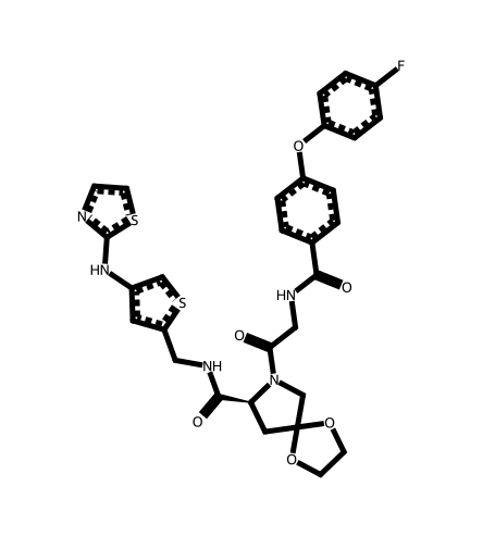 O=C(NCC(=O)N1CC2(C[C@H]1C(=O)NCc1cc(Nc3nccs3)cs1)OCCO2)c1ccc(Oc2ccc(F)cc2)cc1